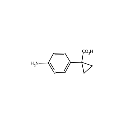 Nc1ccc(C2(C(=O)O)CC2)cn1